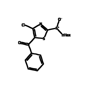 CCCCCC[S+]([O-])c1nc(Cl)c(C(=O)c2ccccc2)s1